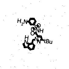 CC(C)(C)c1cc(C(=O)NS(=O)(=O)c2cccc(N)c2)n(Cc2cccc3cc[nH]c23)n1